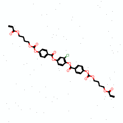 C=CC(=O)OCCCCOC(=O)Oc1ccc(C(=O)Oc2ccc(OC(=O)c3ccc(OC(=O)OCCCCOC(=O)C=C)cc3)c(Cl)c2)cc1